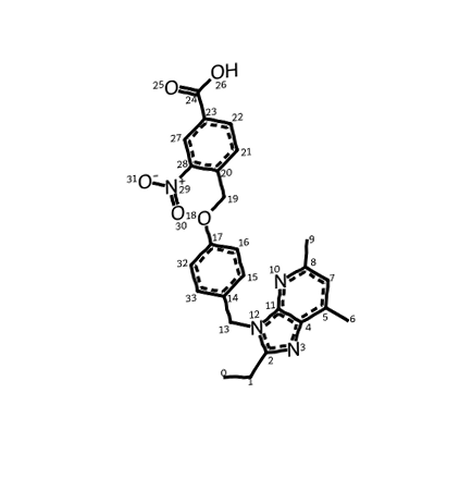 CCc1nc2c(C)cc(C)nc2n1Cc1ccc(OCc2ccc(C(=O)O)cc2[N+](=O)[O-])cc1